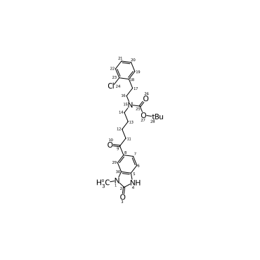 Cn1c(=O)[nH]c2ccc(C(=O)CCCCN(CCc3ccccc3Cl)C(=O)OC(C)(C)C)cc21